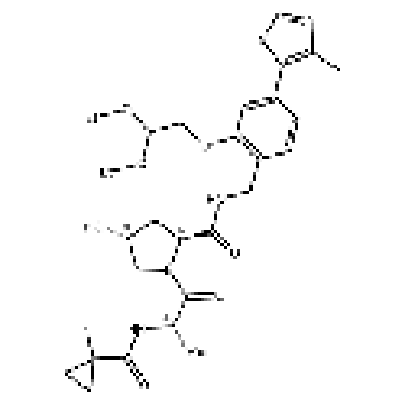 CCOC(COc1cc(-c2scnc2C)ccc1CNC(=O)[C@@H]1C[C@@H](O)CN1C(=O)[C@@H](NC(=O)C1(F)CC1)C(C)(C)C)OCC